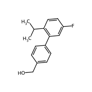 CC(C)c1ccc(F)cc1-c1ccc(CO)cc1